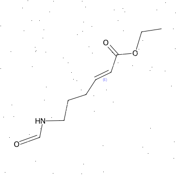 CCOC(=O)/C=C/CCCNC=O